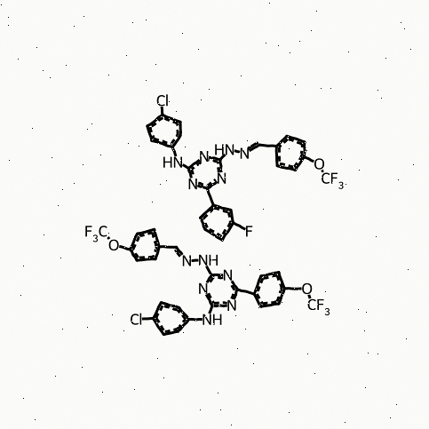 FC(F)(F)Oc1ccc(C=NNc2nc(Nc3ccc(Cl)cc3)nc(-c3ccc(OC(F)(F)F)cc3)n2)cc1.Fc1cccc(-c2nc(NN=Cc3ccc(OC(F)(F)F)cc3)nc(Nc3ccc(Cl)cc3)n2)c1